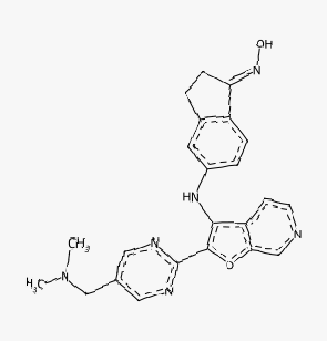 CN(C)Cc1cnc(-c2oc3cnccc3c2Nc2ccc3c(c2)CCC3=NO)nc1